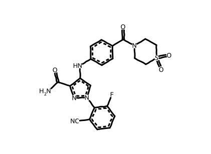 N#Cc1cccc(F)c1-n1cc(Nc2ccc(C(=O)N3CCS(=O)(=O)CC3)cc2)c(C(N)=O)n1